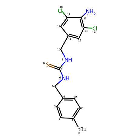 CC(C)(C)c1ccc(CNC(=S)NCc2cc(Cl)c(N)c(Cl)c2)cc1